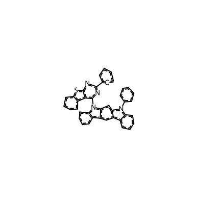 c1ccc(-c2nc(-n3c4ccccc4c4cc5c6ccccc6n(-c6ccccc6)c5cc43)c3c(n2)sc2ccccc23)cc1